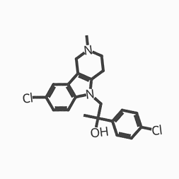 CN1CCc2c(c3cc(Cl)ccc3n2CC(C)(O)c2ccc(Cl)cc2)C1